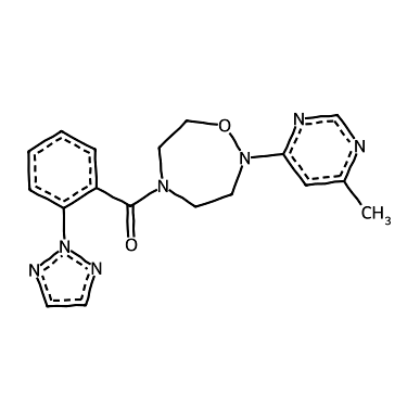 Cc1cc(N2CCN(C(=O)c3ccccc3-n3nccn3)CCO2)ncn1